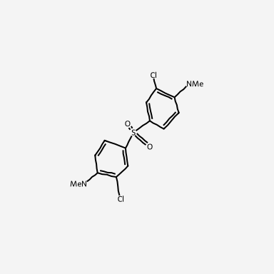 CNc1ccc(S(=O)(=O)c2ccc(NC)c(Cl)c2)cc1Cl